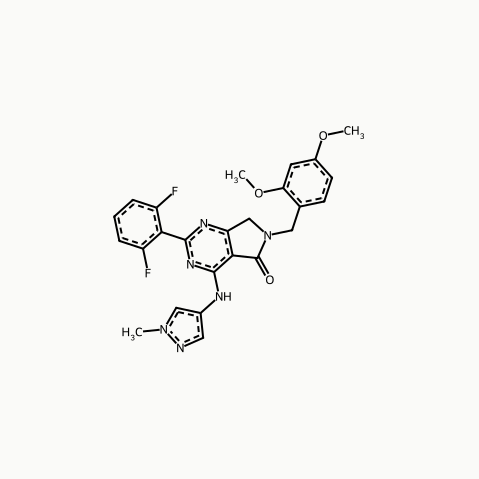 COc1ccc(CN2Cc3nc(-c4c(F)cccc4F)nc(Nc4cnn(C)c4)c3C2=O)c(OC)c1